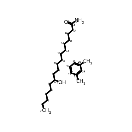 CCCCCCC(O)CCCCCCCCCCC(N)=O.Cc1cccc(C)c1